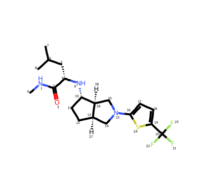 CNC(=O)[C@H](CC(C)C)N[C@H]1CC[C@@H]2CN(c3ccc(C(F)(F)F)s3)C[C@@H]21